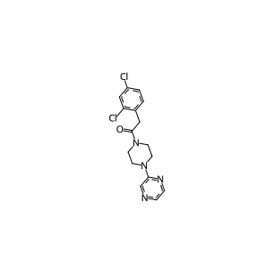 O=C(Cc1ccc(Cl)cc1Cl)N1CCN(c2cnccn2)CC1